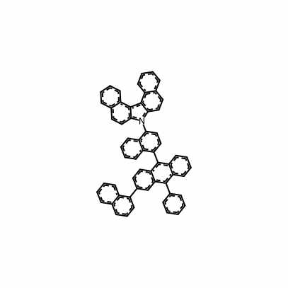 c1ccc(-c2c3ccccc3c(-c3ccc(-n4c5ccc6ccccc6c5c5c6ccccc6ccc54)c4ccccc34)c3ccc(-c4cccc5ccccc45)cc23)cc1